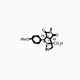 COc1ccc([C@H]2[C@H]3C(=O)N(C)C(=O)[C@H]3[C@@](CC(C)C)(C(=O)O)N2C(C)=O)cc1